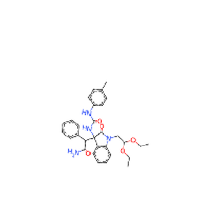 CCOC(CN1C(=O)C(NC(=O)Nc2ccc(C)cc2)(C(C(N)=O)c2ccccc2)c2ccccc21)OCC